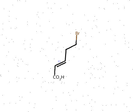 O=C(O)/C=C/CCBr